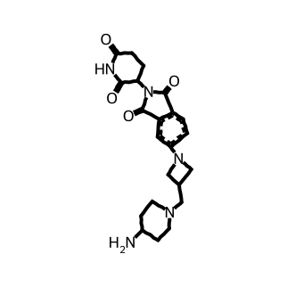 NC1CCN(CC2CN(c3ccc4c(c3)C(=O)N(C3CCC(=O)NC3=O)C4=O)C2)CC1